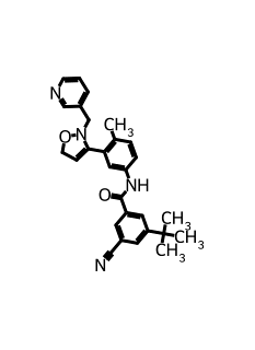 Cc1ccc(NC(=O)c2cc(C#N)cc(C(C)(C)C)c2)cc1C1=CCON1Cc1cccnc1